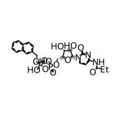 CCC(=O)Nc1ccn([C@@H]2O[C@H](COP(=O)(O)OP(=O)(O)OCc3ccc4ccccc4c3)C(O)[C@@H]2O)c(=O)n1